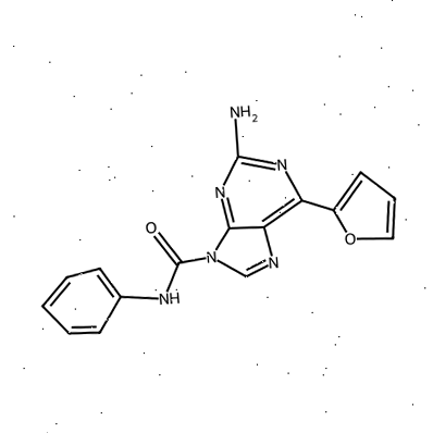 Nc1nc(-c2ccco2)c2ncn(C(=O)Nc3ccccc3)c2n1